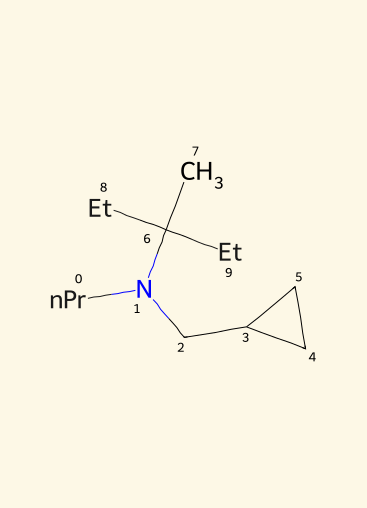 CCCN(CC1CC1)C(C)(CC)CC